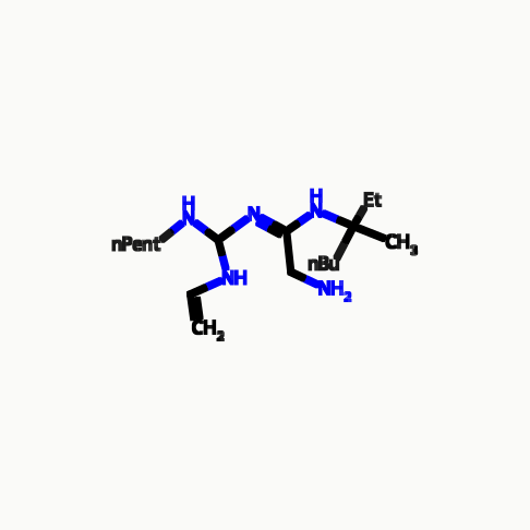 C=CNC(/N=C(\CN)NC(C)(CC)CCCC)NCCCCC